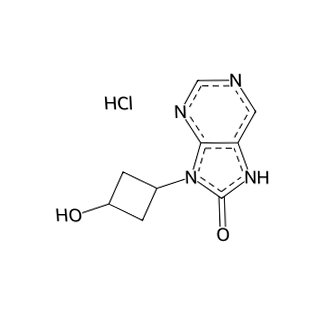 Cl.O=c1[nH]c2cncnc2n1C1CC(O)C1